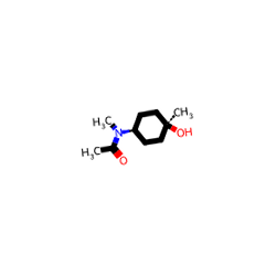 CC(=O)N(C)[C@H]1CC[C@@](C)(O)CC1